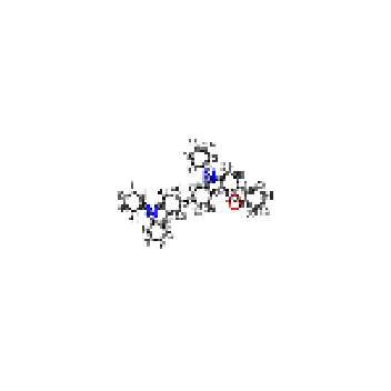 c1ccc(-n2c3ccccc3c3cc(-c4ccc5c6c7oc8ccccc8c7ccc6n(-c6ccccc6)c5c4)ccc32)cc1